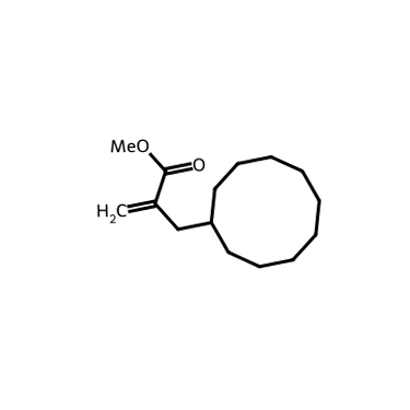 C=C(CC1CCCCCCCCC1)C(=O)OC